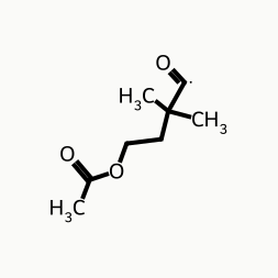 CC(=O)OCCC(C)(C)[C]=O